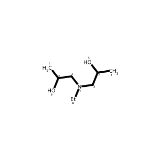 CCN(CC(C)O)CC(C)O